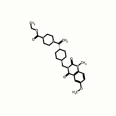 C=C([C@H]1CC[C@H](Cn2c(=O)c3cc(OC)ccc3n(C)c2=O)CC1)N1CCN(C(=O)OCC)CC1